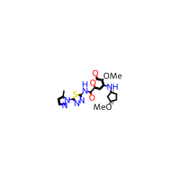 COc1c(N[C@H]2CC[C@H](OC)C2)cc(C(=O)Nc2nnc(-n3nccc3C)s2)oc1=O